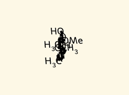 COc1cc([C@@H](C)NC(=O)c2cc(N3CCN(C)CC3)ccc2C)ccc1OCCO